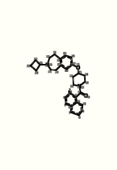 O=C(c1nccc2ccccc12)N1CCC(Oc2ccc3c(c2)CCN(C2CCC2)CC3)CC1